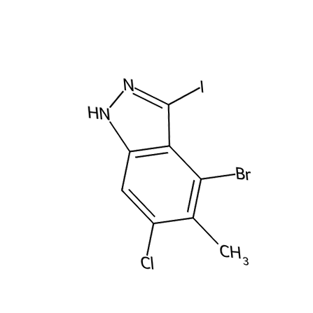 Cc1c(Cl)cc2[nH]nc(I)c2c1Br